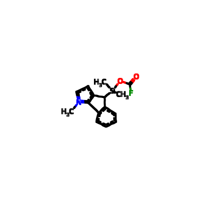 Cn1ccc2c1-c1ccccc1C2[Si](C)(C)OC(=O)F